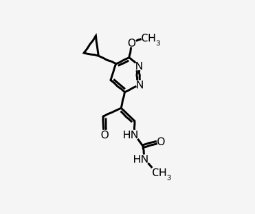 CNC(=O)N/C=C(\C=O)c1cc(C2CC2)c(OC)nn1